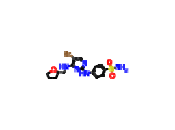 NS(=O)(=O)c1ccc(Nc2ncc(Br)c(NCC3CCCO3)n2)cc1